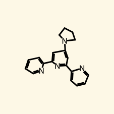 c1ccc(-c2cc(N3CCCC3)cc(-c3ccccn3)n2)nc1